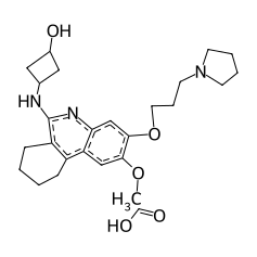 COc1cc2c3c(c(NC4CC(O)C4)nc2cc1OCCCN1CCCC1)CCCC3.O=CO